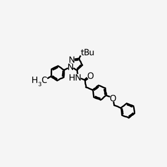 Cc1ccc(-n2nc(C(C)(C)C)cc2NC(=O)Cc2ccc(OCc3ccccc3)cc2)cc1